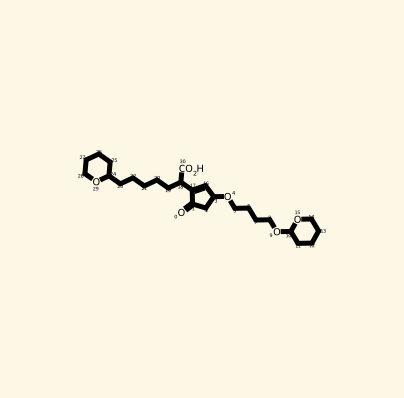 O=C1CC(OCCCCOC2CCCCO2)C=C1C(CCCCCC1CCCCO1)C(=O)O